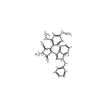 COc1ncc(C2=C(c3cn(Cc4ccccc4)c4ncccc34)C(=O)N(C)C2=O)c(OC)n1